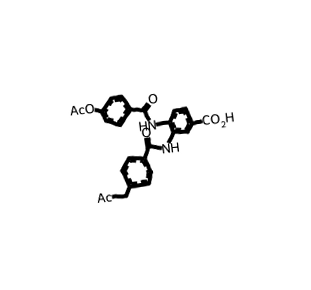 CC(=O)Cc1ccc(C(=O)Nc2cc(C(=O)O)ccc2NC(=O)c2ccc(OC(C)=O)cc2)cc1